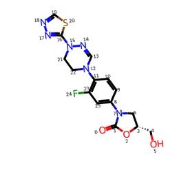 O=C1O[C@@H](CO)CN1c1ccc(N2C=NN(c3nncs3)CC2)c(F)c1